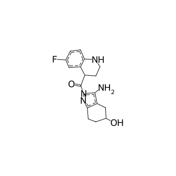 Nc1c2c(nn1C(=O)C1CCNc3ccc(F)cc31)CCC(O)C2